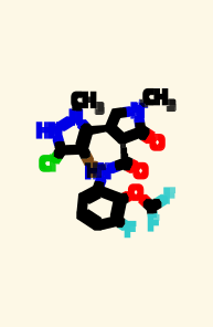 CN1C[C@H](C2=C(Br)C(Cl)NN2C)[C@@H](C(=O)Nc2cccc(F)c2OC(F)F)C1=O